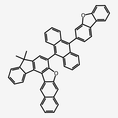 CC1(C)c2ccccc2-c2c1cc(-c1c3ccccc3c(-c3ccc4c(c3)oc3ccccc34)c3ccccc13)c1oc3cc4ccccc4cc3c21